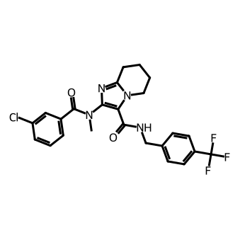 CN(C(=O)c1cccc(Cl)c1)c1nc2n(c1C(=O)NCc1ccc(C(F)(F)F)cc1)CCCC2